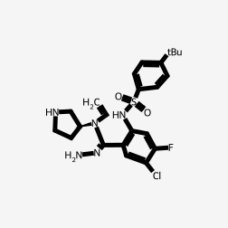 C=CN(/C(=N\N)c1cc(Cl)c(F)cc1NS(=O)(=O)c1ccc(C(C)(C)C)cc1)[C@H]1CCNC1